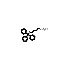 CCOC(=O)CCCCSC(c1ccccc1)(c1ccccc1)c1ccccc1